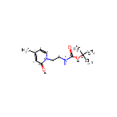 Cc1ccn(CCNC(=O)OC(C)(C)C)c(=O)c1